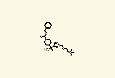 CC(O)(c1cnn(COCC[Si](C)(C)C)c1)C1CCN(C(=O)OCc2ccccc2)CC1